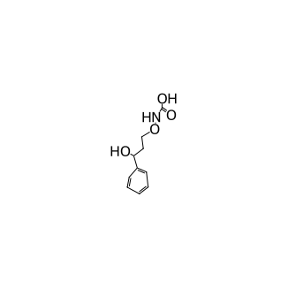 O=C(O)NOCCC(O)c1ccccc1